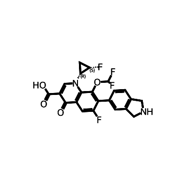 O=C(O)c1cn([C@@H]2C[C@@H]2F)c2c(OC(F)F)c(-c3ccc4c(c3)CNC4)c(F)cc2c1=O